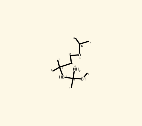 CBC(C)(N)BC(C)(C)CCOC(C)C